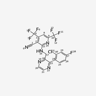 N#Cc1c(C(F)(F)F)cc(C(F)(F)F)nc1NCc1nccnc1-c1ccc(F)cc1Cl